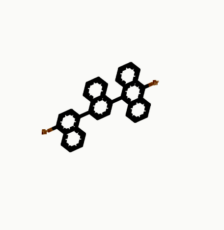 Brc1ccc(-c2ccc(-c3c4ccccc4c(Br)c4ccccc34)c3ccccc23)c2ccccc12